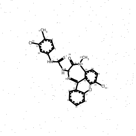 Cc1ccc(NC(=S)NC2N=C(c3ccccc3Cl)c3cc(Cl)ccc3N(C)C2=O)cc1Cl